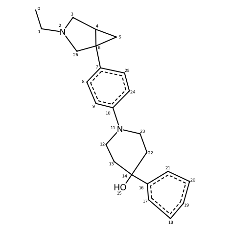 CCN1CC2CC2(c2ccc(N3CCC(O)(c4ccccc4)CC3)cc2)C1